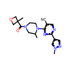 CC1CN(C(=O)C2(C)COC2)CCN1c1nc(-c2cnn(C)c2)ncc1C#N